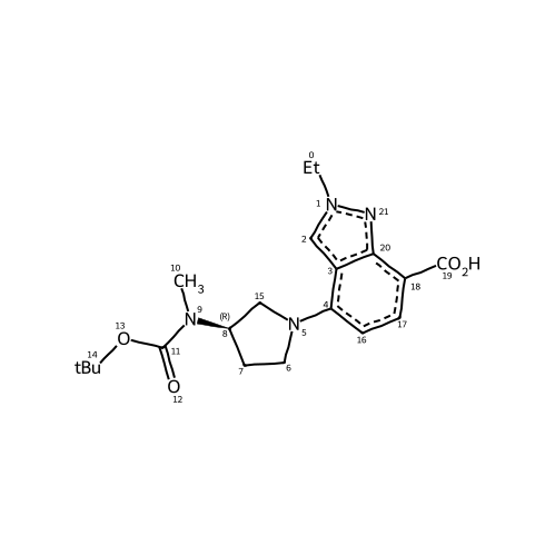 CCn1cc2c(N3CC[C@@H](N(C)C(=O)OC(C)(C)C)C3)ccc(C(=O)O)c2n1